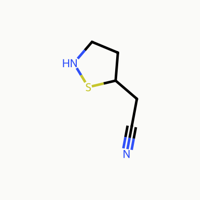 N#CCC1CCNS1